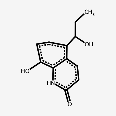 CCC(O)c1ccc(O)c2[nH]c(=O)ccc12